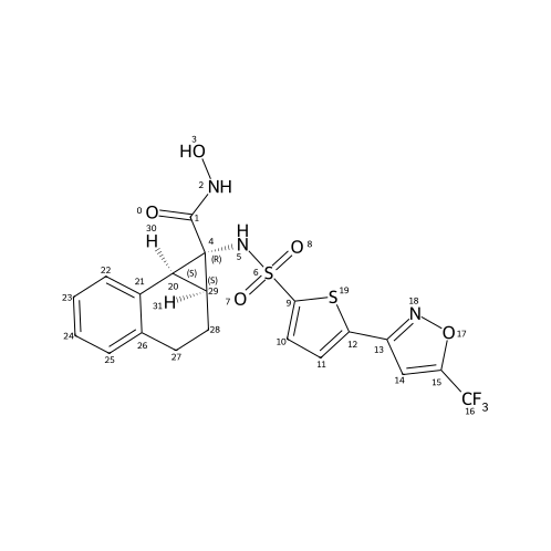 O=C(NO)[C@]1(NS(=O)(=O)c2ccc(-c3cc(C(F)(F)F)on3)s2)[C@@H]2c3ccccc3CC[C@@H]21